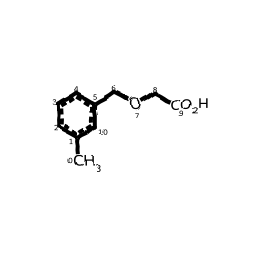 Cc1cccc(COCC(=O)O)c1